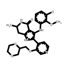 COc1c(Cl)cccc1Nc1c(-c2ccncc2OCC2COCCO2)[nH]c2c1C(=O)NC(C)C2